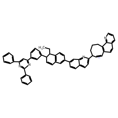 CCC1c2ccc(-c3ccc4ccc(C5/C=C\c6ccc7cccnc7c6CCC5)nc4c3)cc2C=CC1c1cccc(-c2cc(-c3ccccc3)nc(-c3ccccc3)n2)c1